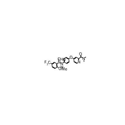 COc1ccc(C(F)(F)F)cc1N(C=O)Nc1ccc(Oc2ccnc(C(=O)N(C)C)c2)cc1